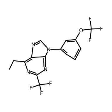 CCc1nc(C(F)(F)F)nc2c1ncn2-c1cccc(OC(F)(F)F)c1